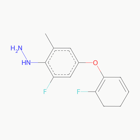 Cc1cc(OC2=C(F)CCC=C2)cc(F)c1NN